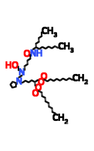 C=CCCCCCCCCC(=O)OCC(CCCCN(CCN(CCO)CCCCCC(=O)NCC(CCCCCC)CCCCCCCC)C1CCCC1)COC(=O)CCCCCCCCC=C